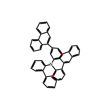 c1ccc(-c2ccccc2N(c2cccc(-c3cc4ccccc4c4ccccc34)c2)c2ccccc2-c2ccc3ccccc3c2)cc1